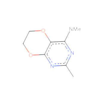 CNc1nc(C)nc2c1OCCO2